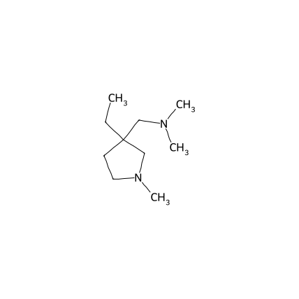 CCC1(CN(C)C)CCN(C)C1